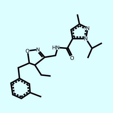 CCC1C(CNC(=O)c2cc(C)nn2C(C)C)=NOC1Cc1cccc(C)c1